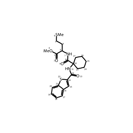 COC(=O)C(CCSC)NC(=O)C1(NC(=O)c2cc3ccccc3s2)CCCCC1